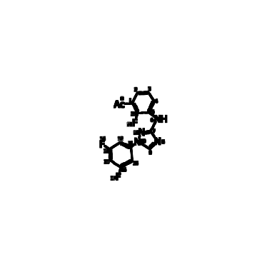 CC(=O)c1cccc(Nc2ncn(-c3cc(F)cc(F)c3)n2)c1F